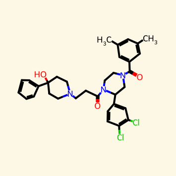 Cc1cc(C)cc(C(=O)N2CCN(C(=O)CCN3CCC(O)(c4ccccc4)CC3)C(c3ccc(Cl)c(Cl)c3)C2)c1